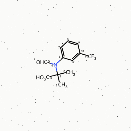 CC(C)(C(=O)O)N(C=O)c1cccc(C(F)(F)F)c1